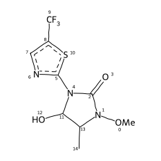 CON1C(=O)N(c2ncc(C(F)(F)F)s2)C(O)C1C